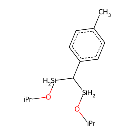 Cc1ccc(C([SiH2]OC(C)C)[SiH2]OC(C)C)cc1